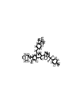 C=C1C(c2nnc(C(C)(C)c3ccc(F)cc3)o2)=CN(Cc2ccc(C(F)(F)F)cc2)c2cc(N3CCOCC3)c(F)cc21